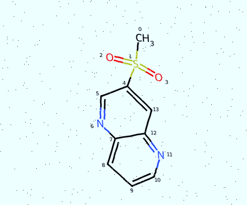 CS(=O)(=O)c1cnc2cccnc2c1